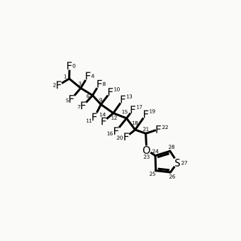 FC(F)C(F)(F)C(F)(F)C(F)(F)C(F)(F)C(F)(F)C(F)(F)C(F)Oc1ccsc1